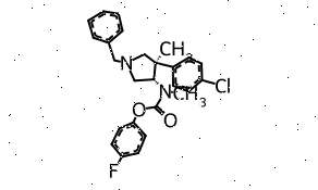 CN(C(=O)Oc1ccc(F)cc1)[C@@H]1CN(Cc2ccccc2)C[C@@]1(C)c1ccc(Cl)cc1